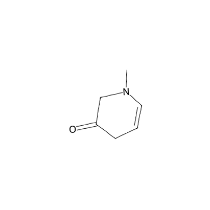 CN1C=CCC(=O)C1